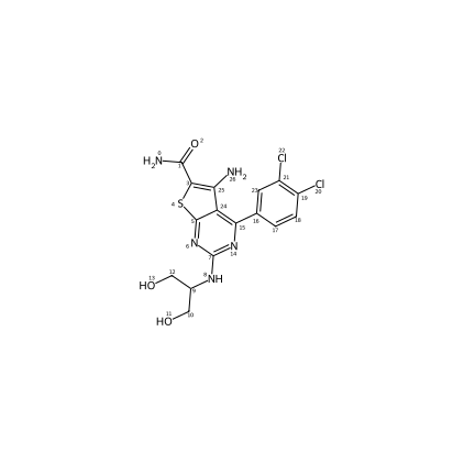 NC(=O)c1sc2nc(NC(CO)CO)nc(-c3ccc(Cl)c(Cl)c3)c2c1N